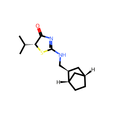 CC(C)[C@H]1SC(NC[C@H]2C[C@@H]3CC[C@H]2C3)=NC1=O